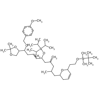 C=C(CC(C)CC1CC=CC(CCO[Si](C)(C)C(C)(C)C)O1)CC(C=CCC(OCc1ccc(OC)cc1)C1COC(C)(C)O1)O[Si](C(C)C)(C(C)C)C(C)C